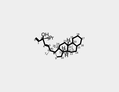 C=C[C@](O)(C=C[C@@H](C)[C@H]1CC[C@H]2[C@@H]3CCC4CCCC[C@]4(C)[C@H]3CC[C@]12C)C(C)C